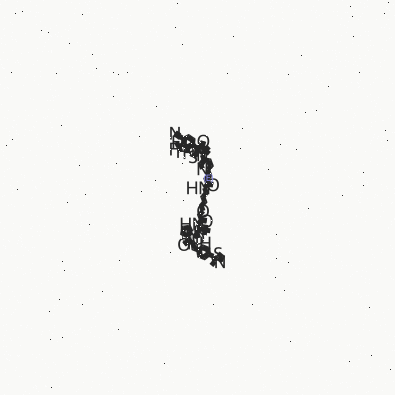 Cc1ncsc1-c1ccc(CNC(=O)[C@@H]2CCCN2C(=O)C(NC(=O)COCCCCNC(=O)/C=C/c2ccc(N3C(=S)N(c4ccc(C#N)c(C(F)(F)F)c4F)C(=O)C3(C)C)cn2)C(C)(C)C)cc1